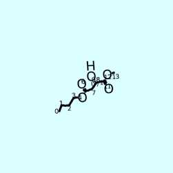 CCCCOC(=O)C[C@H](O)C(=O)OC